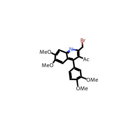 COc1ccc(-c2c(C(C)=O)c(CBr)nc3cc(OC)c(OC)cc23)cc1OC